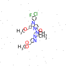 COCC1CC2(C1)CN(c1ccc(Cl)c(F)c1)c1ccc(C(=O)N3CCN(c4ccc(CC(=O)OC)cn4)CC3(C)C)nc12